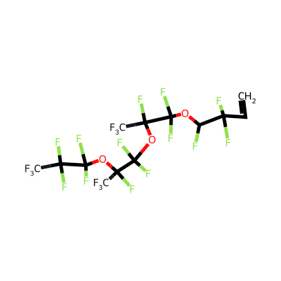 C=CC(F)(F)C(F)OC(F)(F)C(F)(OC(F)(F)C(F)(OC(F)(F)C(F)(F)C(F)(F)F)C(F)(F)F)C(F)(F)F